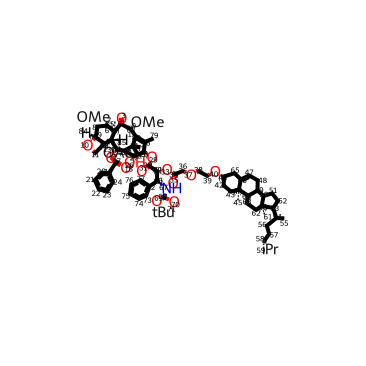 CO[C@H]1C(=O)[C@]2(C)[C@@H](OC)C[C@H]3OC[C@@]3(OC(C)=O)[C@H]2[C@H](OC(=O)c2ccccc2)[C@]2(O)C[C@H](OC(=O)[C@H](OC(=O)COCCO[C@H]3CC[C@@]4(C)C(=CCC5C6CCC(C(C)CCCC(C)C)[C@@]6(C)CCC54)C3)[C@@H](NC(=O)OC(C)(C)C)c3ccccc3)C(C)=C1C2(C)C